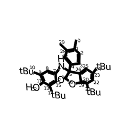 Cc1ccc(C2(Nc3cc(C(C)(C)C)c(O)c(C(C)(C)C)c3)C(=O)Oc3c(C(C)(C)C)cc(C(C)(C)C)cc32)cc1C